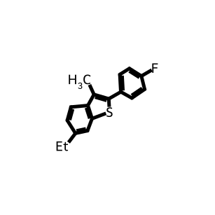 CCc1ccc2c(C)c(-c3ccc(F)cc3)sc2c1